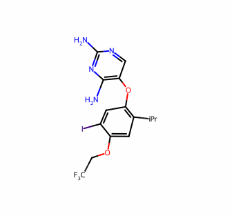 CC(C)c1cc(OCC(F)(F)F)c(I)cc1Oc1cnc(N)nc1N